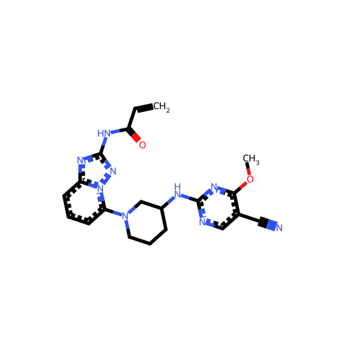 C=CC(=O)Nc1nc2cccc(N3CCCC(Nc4ncc(C#N)c(OC)n4)C3)n2n1